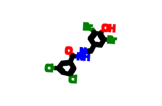 O=C(NN=Cc1cc(Br)c(O)c(Br)c1)c1cc(Cl)cc(Cl)c1